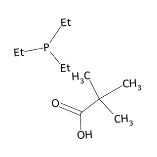 CC(C)(C)C(=O)O.CCP(CC)CC